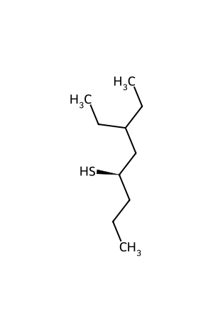 CCC[C@@H](S)CC(CC)CC